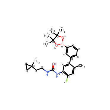 Cc1cc(F)c(NC(=O)NCCC2(C)CC2)cc1-c1cccc(B2OC(C)(C)C(C)(C)O2)c1